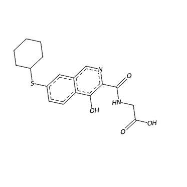 O=C(O)CNC(=O)c1ncc2cc(SC3CCCCC3)ccc2c1O